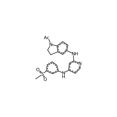 CC(=O)N1CCc2cc(Nc3cc(Nc4cccc(S(C)(=O)=O)c4)ccn3)ccc21